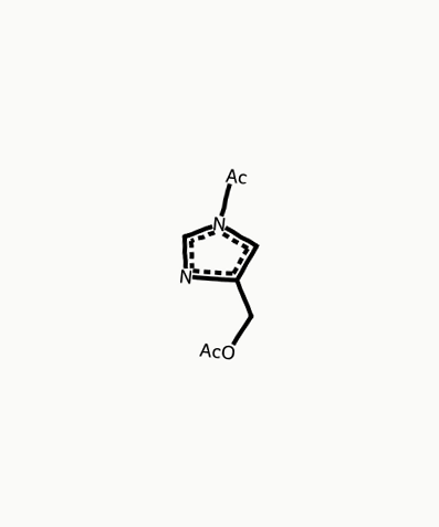 CC(=O)OCc1cn(C(C)=O)cn1